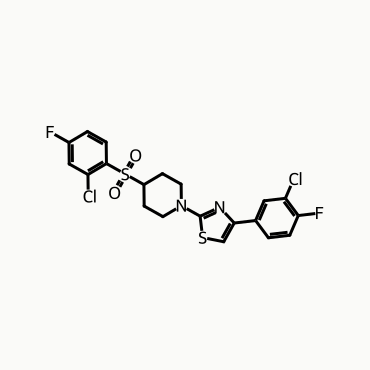 O=S(=O)(c1ccc(F)cc1Cl)C1CCN(c2nc(-c3ccc(F)c(Cl)c3)cs2)CC1